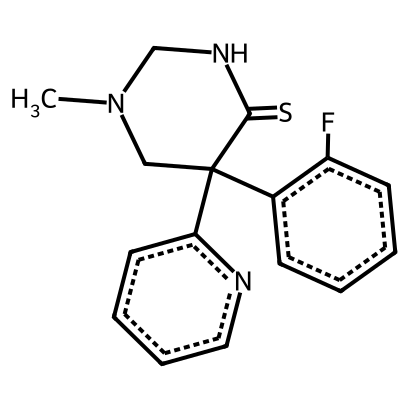 CN1CNC(=S)C(c2ccccn2)(c2ccccc2F)C1